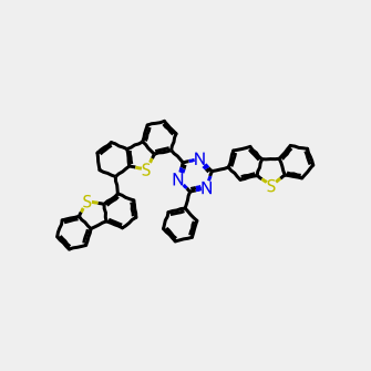 C1=Cc2c(sc3c(-c4nc(-c5ccccc5)nc(-c5ccc6c(c5)sc5ccccc56)n4)cccc23)C(c2cccc3c2sc2ccccc23)C1